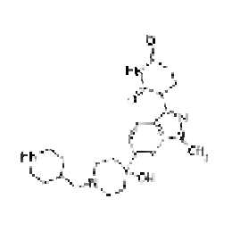 Cn1nc(C2CCC(=O)NC2=O)c2ccc(C3(O)CCN(CC4CCNCC4)CC3)cc21